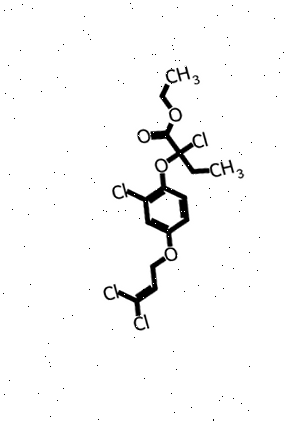 CCOC(=O)C(Cl)(CC)Oc1ccc(OCC=C(Cl)Cl)cc1Cl